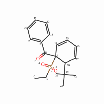 CCS(=O)(=O)C1(C(=O)c2ccccc2)C=CC=CC1C(C)(C)C